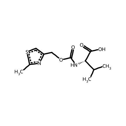 Cc1nc(COC(=O)N[C@H](C(=O)O)C(C)C)cs1